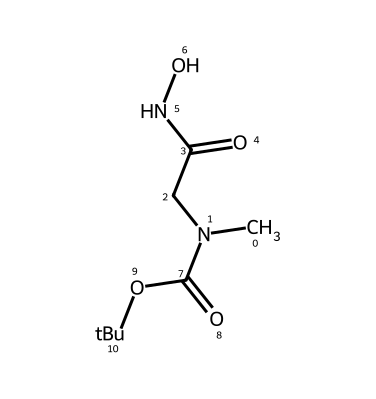 CN(CC(=O)NO)C(=O)OC(C)(C)C